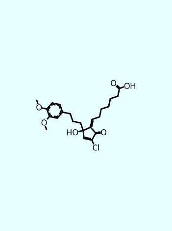 COc1ccc(CCCC2(O)C=C(Cl)C(=O)/C2=C\CCCCCC(=O)O)cc1OC